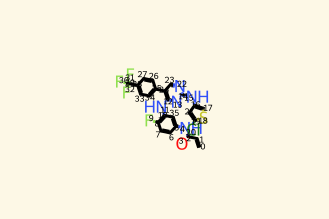 C=CC(=O)Nc1ccc(F)c(Nc2nc(Nc3csc(Cl)c3)ncc2-c2ccc(C(F)(F)F)cc2)c1